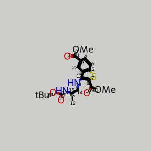 COC(=O)c1ccc2sc(C(=O)OC)c(NC[C@@H](C)NC(=O)OC(C)(C)C)c2c1